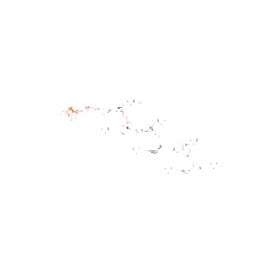 COCC(COCC(COCC(COCC(COCC(COCC(COCCOCCOS(C)(=O)=O)OC)OC)OC)OC)OC)OC